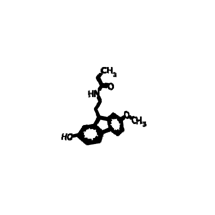 CCC(=O)NCCC1c2cc(O)ccc2-c2ccc(OC)cc21